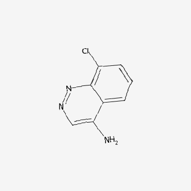 Nc1cnnc2c(Cl)cccc12